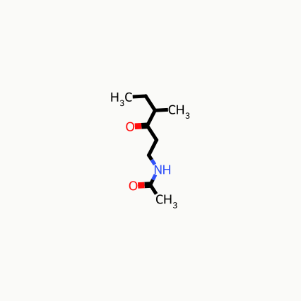 CCC(C)C(=O)CCNC(C)=O